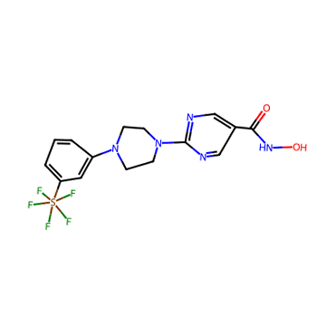 O=C(NO)c1cnc(N2CCN(c3cccc(S(F)(F)(F)(F)F)c3)CC2)nc1